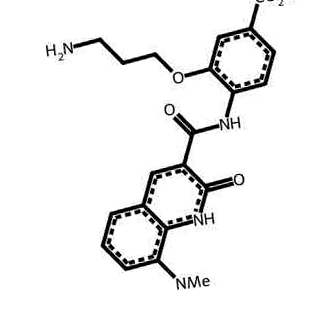 CNc1cccc2cc(C(=O)Nc3ccc(C(=O)O)cc3OCCCN)c(=O)[nH]c12